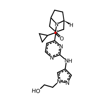 O=C(C1CC1)N1C2CC[C@@H]1CN(c1ccnc(Nc3cnn(CCO)c3)n1)C2